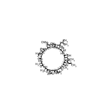 C/C=C/C[C@@H](C)[C@@H](O)[C@H]1C(=O)N[C@@H](CC)C(=O)N(C)[C@H](CCCN(C)C)C(=O)N(C)[C@@H]([C@H](C)COC)C(=O)NC(C(C)C)C(=O)N(C)[C@@H](CC(C)C)C(=O)N[C@@H](C)C(=O)N[C@H](C)C(=O)N(C)[C@@H](CC(C)C)C(=O)N(C)[C@@H](CC(C)C)C(=O)N(C)C(C(C)C)C(=O)N1C